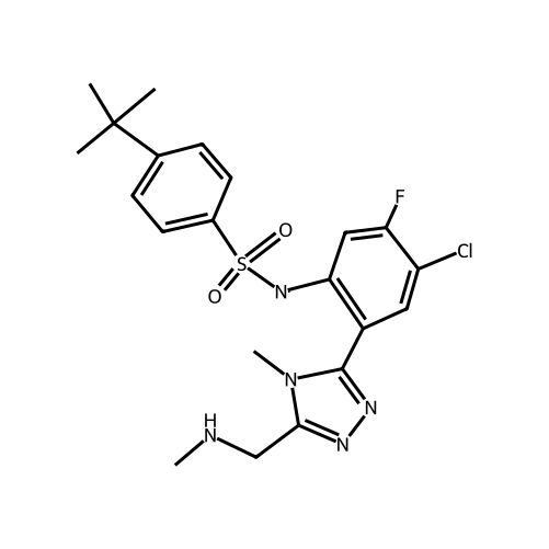 CNCc1nnc(-c2cc(Cl)c(F)cc2[N]S(=O)(=O)c2ccc(C(C)(C)C)cc2)n1C